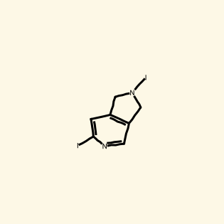 Ic1cc2c(cn1)CN(I)C2